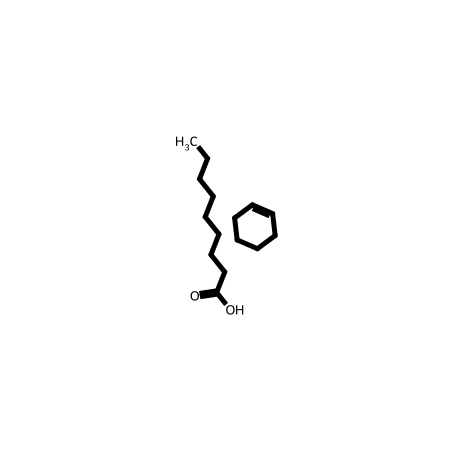 C1=CCCCC1.CCCCCCCCC(=O)O